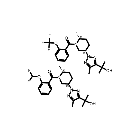 Cc1nn([C@@H]2CC[C@@H](C)N(C(=O)c3ccccc3OC(F)(F)F)C2)nc1C(C)(C)O.Cc1nn([C@@H]2CC[C@@H](C)N(C(=O)c3ccccc3OC(F)F)C2)nc1C(C)(C)O